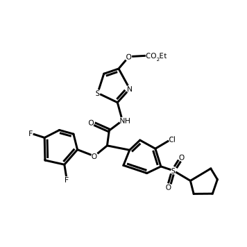 CCOC(=O)Oc1csc(NC(=O)C(Oc2ccc(F)cc2F)c2ccc(S(=O)(=O)C3CCCC3)c(Cl)c2)n1